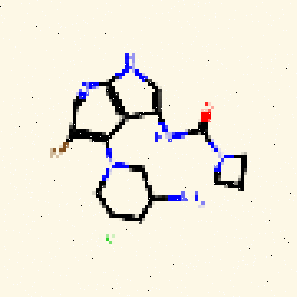 Cl.NC1CCCN(c2c(Br)cnc3[nH]cc(NC(=O)N4CCC4)c23)C1